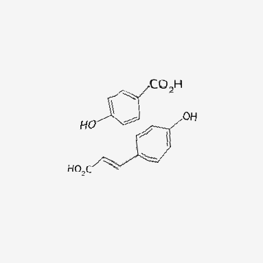 O=C(O)C=Cc1ccc(O)cc1.O=C(O)c1ccc(O)cc1